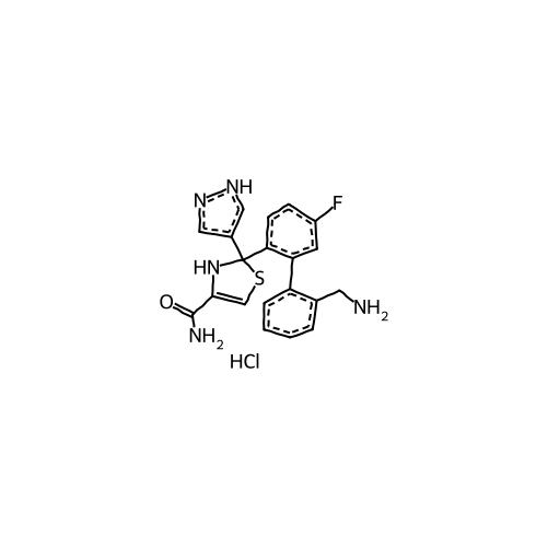 Cl.NCc1ccccc1-c1cc(F)ccc1C1(c2cn[nH]c2)NC(C(N)=O)=CS1